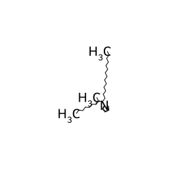 CCCCCCC=C(C)C(CCCCCCCCCCCCCC)n1cccc1